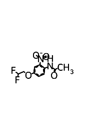 CC(=O)Nc1ccc(OCC(F)F)cc1[N+](=O)[O-]